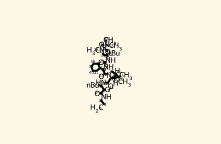 C=CCNC(=O)C(=O)C(CCCC)NC(=O)C1[C@@H]2[C@H](CN1C(=O)[C@@H](NC(=O)N[C@H](CN(C)S(=O)(=O)N(C)C)C(C)(C)C)C1CCCCC1)C2(C)C